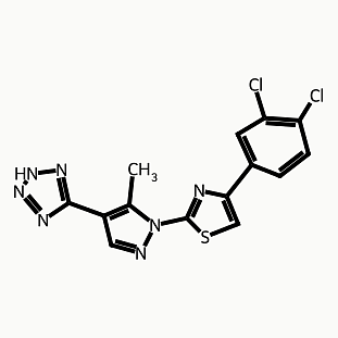 Cc1c(-c2nn[nH]n2)cnn1-c1nc(-c2ccc(Cl)c(Cl)c2)cs1